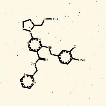 COc1ccc(CNc2nc(N3CCCC3COC=O)ncc2C(=O)NCc2ncccn2)cc1Cl